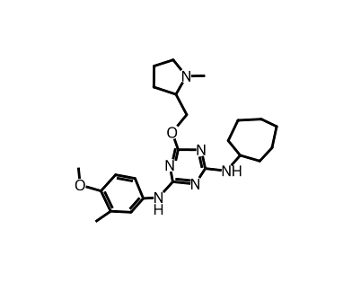 COc1ccc(Nc2nc(NC3CCCCCC3)nc(OCC3CCCN3C)n2)cc1C